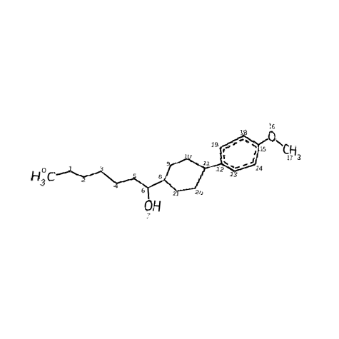 CCCCCCC(O)C1CCC(c2ccc(OC)cc2)CC1